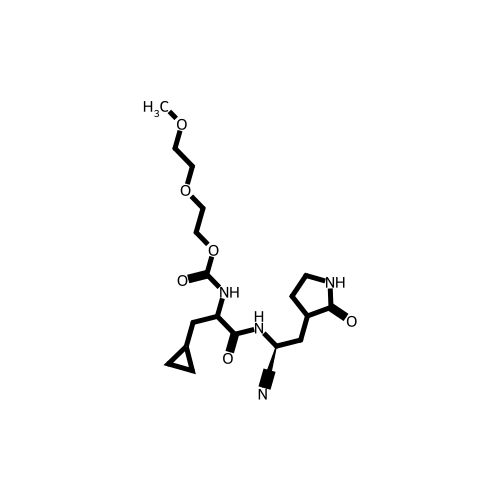 COCCOCCOC(=O)NC(CC1CC1)C(=O)N[C@H](C#N)CC1CCNC1=O